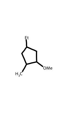 CCC1CC(C)C(OC)C1